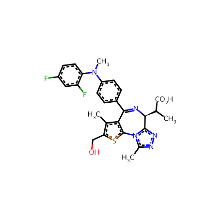 Cc1c(CO)sc2c1C(c1ccc(N(C)c3ccc(F)cc3F)cc1)=N[C@@H](C(C)C(=O)O)c1nnc(C)n1-2